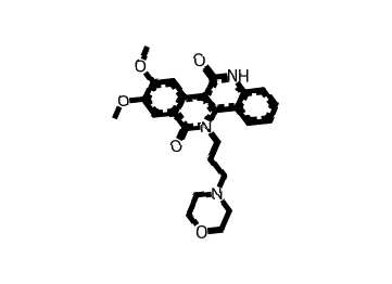 COc1cc2c(=O)n(CCCN3CCOCC3)c3c4ccccc4[nH]c(=O)c3c2cc1OC